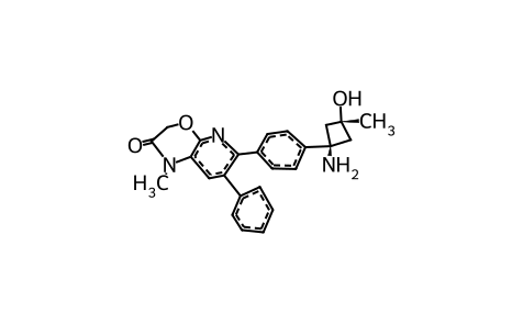 CN1C(=O)COc2nc(-c3ccc([C@]4(N)C[C@](C)(O)C4)cc3)c(-c3ccccc3)cc21